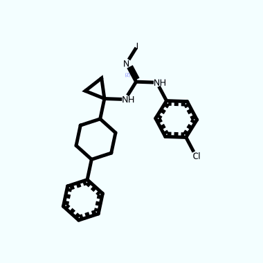 Clc1ccc(N/C(=N\I)NC2(C3CCC(c4ccccc4)CC3)CC2)cc1